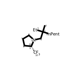 CCCCCC(C)(CC)CN1CCC[C@H]1C(F)(F)F